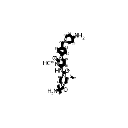 CC[C@@H]1CN(C(=O)C(C)(C)N)CCN1C(=O)Nc1ccn(-c2ccc(CN3CCC(N)CC3)cc2)c(=O)n1.Cl